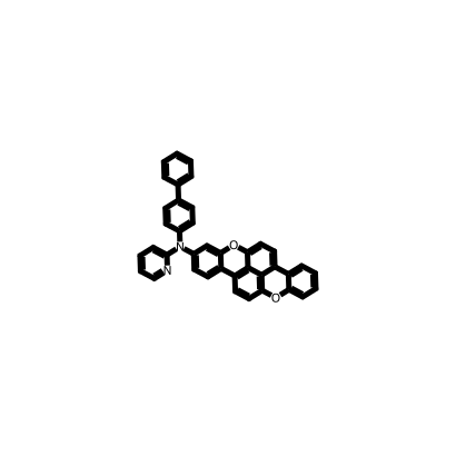 c1ccc(-c2ccc(N(c3ccc4c(c3)Oc3ccc5c6c(ccc-4c36)Oc3ccccc3-5)c3ccccn3)cc2)cc1